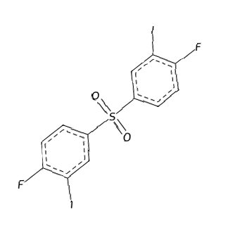 O=S(=O)(c1ccc(F)c(I)c1)c1ccc(F)c(I)c1